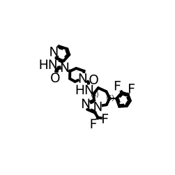 O=C(N[C@@H]1CC[C@@H](c2cccc(F)c2F)Cn2c(C(F)F)cnc21)N1CCC(n2c(=O)[nH]c3ncccc32)CC1